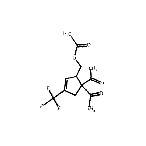 CC(=O)OCC1C=C(C(F)(F)F)CC1(C(C)=O)C(C)=O